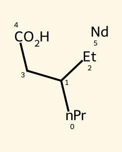 CCCC(CC)CC(=O)O.[Nd]